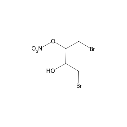 O=[N+]([O-])OC(CBr)C(O)CBr